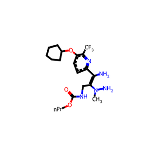 CCCOC(=O)NC/C(=C(/N)c1ccc(OC2CCCCC2)c(C(F)(F)F)n1)N(C)N